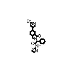 CCn1cc(-c2ccc3c(c2)C(=O)N(C(C(=O)Nc2nccs2)c2ccccc2)C3)cn1